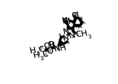 Cc1nc(N2CC3C(C2)C3NC(=O)OC(C)(C)C)nc(C#N)c1-c1cccc(Cl)c1Cl